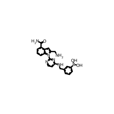 NCc1cc2c(C(N)=O)cccc2n1-c1nccc(NCc2cccc(B(O)O)c2)n1